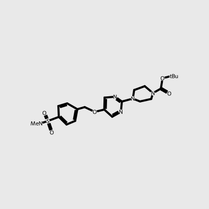 CNS(=O)(=O)c1ccc(COc2cnc(N3CCN(C(=O)OC(C)(C)C)CC3)nc2)cc1